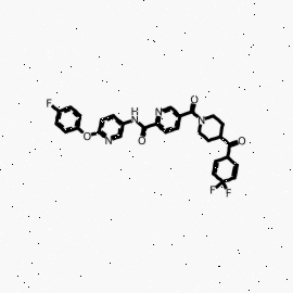 O=C(Nc1ccc(Oc2ccc(F)cc2)nc1)c1ccc(C(=O)N2CCC(C(=O)C3C=CC(F)(F)C=C3)CC2)cn1